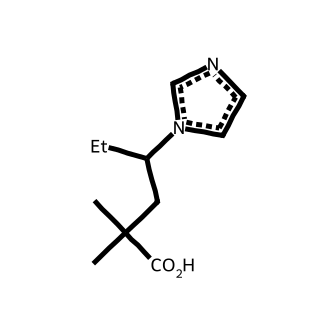 CCC(CC(C)(C)C(=O)O)n1ccnc1